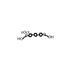 CCCCCCCCc1cc(-c2ccc(-c3ccc(OCCCO)cc3)cc2)ccc1OCCCO